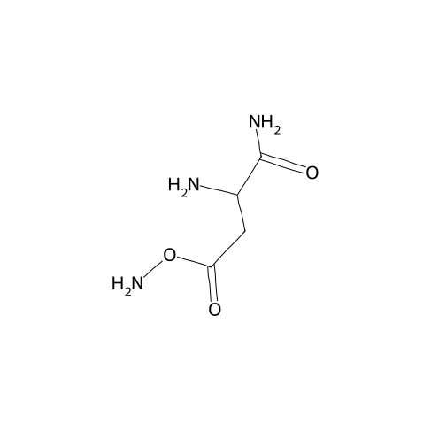 NOC(=O)CC(N)C(N)=O